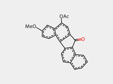 COc1ccc2c3c(cc(OC(C)=O)c2c1)C(=O)c1c-3ccc2ccccc12